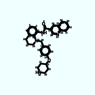 O=C(Nc1cccc2c1N(Cc1ccc(OC3CCNCC3)cc1)CCC2)c1cnc2ccccc2c1